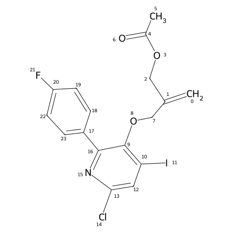 C=C(COC(C)=O)COc1c(I)cc(Cl)nc1-c1ccc(F)cc1